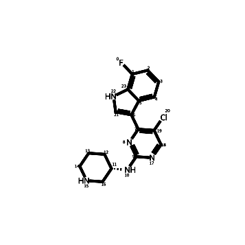 Fc1cccc2c(-c3nc(N[C@H]4CCCNC4)ncc3Cl)c[nH]c12